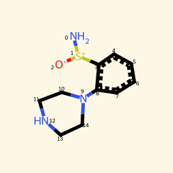 N[S+]([O-])c1ccccc1N1CCNCC1